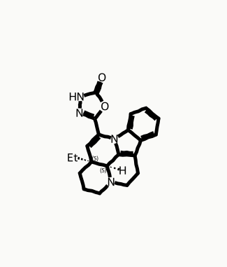 CC[C@@]12C=C(c3n[nH]c(=O)o3)n3c4c(c5ccccc53)CCN(CCC1)[C@H]42